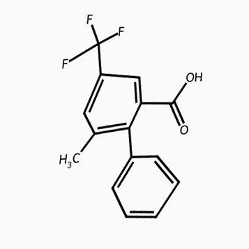 Cc1cc(C(F)(F)F)cc(C(=O)O)c1-c1ccccc1